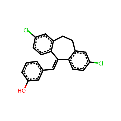 Oc1cccc(C=C2c3ccc(Cl)cc3CCc3cc(Cl)ccc32)c1